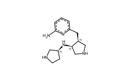 Nc1cccc(C[C@H]2CNC[C@H]2N[C@H]2CCNC2)n1